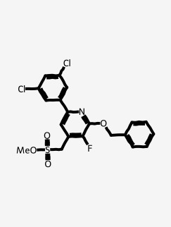 COS(=O)(=O)Cc1cc(-c2cc(Cl)cc(Cl)c2)nc(OCc2ccccc2)c1F